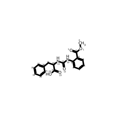 COC(=O)c1ccccc1NC(=O)NC(Cc1ccccc1)C(=O)O